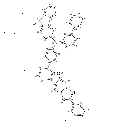 CC1(C)c2ccccc2-c2cc(N(c3ccc(-c4cccc5c4oc4cc6nc(-c7ccccc7)oc6cc45)cc3)c3cccc(-c4ccccc4)c3)ccc21